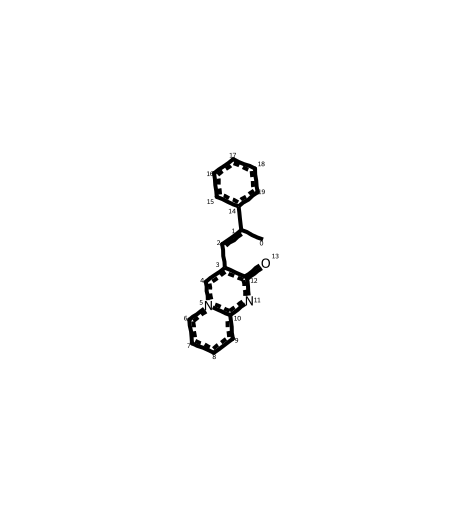 CC(=Cc1cn2ccccc2nc1=O)c1ccccc1